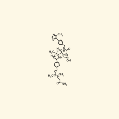 Cc1ncsc1-c1ccc(CNC(=O)[C@@H]2C[C@@H](O)CN2C(=O)[C@@H](NC(=O)c2ccc(CO[C@H](C)[C@@H](N)CCC(N)=O)cc2)C(C)(C)C)cc1